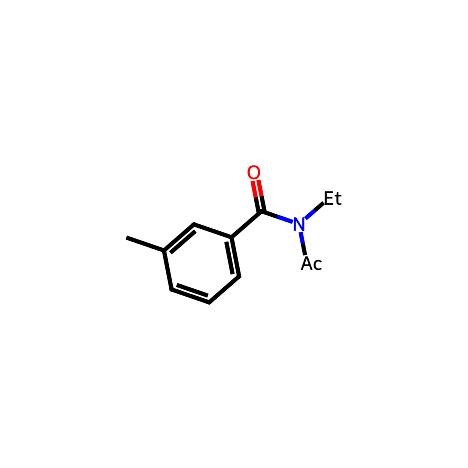 CCN(C(C)=O)C(=O)c1cccc(C)c1